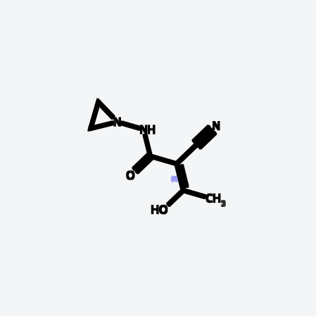 C/C(O)=C(\C#N)C(=O)NN1CC1